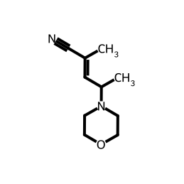 C/C(C#N)=C\C(C)N1CCOCC1